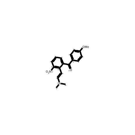 COc1ccc(C(=O)c2cccc([N+](=O)[O-])c2C=CN(C)C)cc1